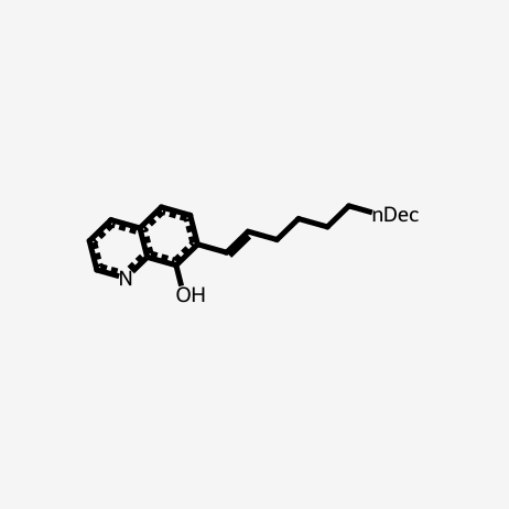 CCCCCCCCCCCCCC/C=C/c1ccc2cccnc2c1O